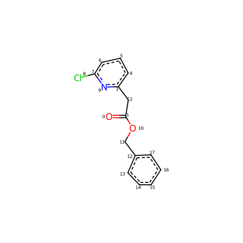 O=C([CH]c1cccc(Cl)n1)OCc1ccccc1